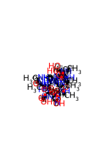 CC(C)C[C@H](NC(=O)[C@H](CC(=O)O)NC(=O)[C@H](CCC(=O)O)NC(=O)[C@H](Cc1ccccc1)NC(=O)[C@H](C)NC(=O)[C@H](C)N)C(=O)N[C@@H](CCCNC(=N)N)C(=O)N[C@H](C(=O)N[C@@H](CC(C)C)C(=O)N[C@@H](CO)C(=O)O)C(C)C